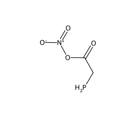 O=C(CP)O[N+](=O)[O-]